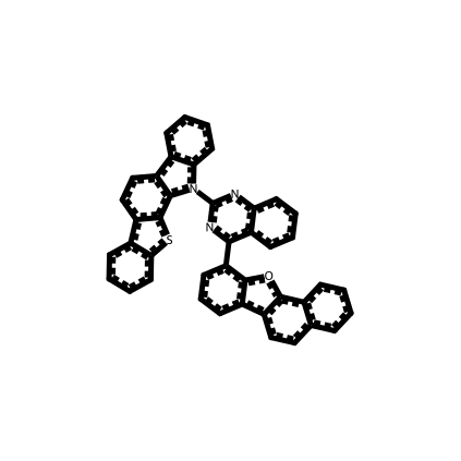 c1ccc2c(c1)ccc1c3cccc(-c4nc(-n5c6ccccc6c6ccc7c8ccccc8sc7c65)nc5ccccc45)c3oc21